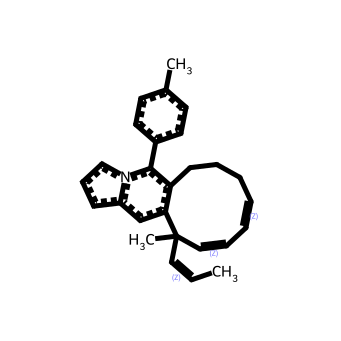 C/C=C\C1(C)/C=C\C=C/CCCc2c1cc1cccn1c2-c1ccc(C)cc1